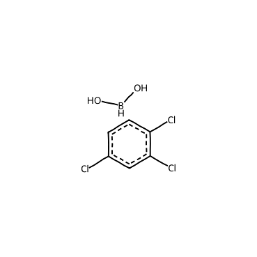 Clc1ccc(Cl)c(Cl)c1.OBO